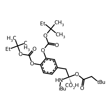 CCC(C)N[C@@](Cc1ccc(OC(=O)OC(C)(C)CC)c(OC(=O)OC(C)(C)CC)c1)(OC(=O)CC(C)(C)C)C(=O)O